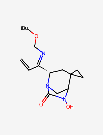 C=C/C(=N\COC(C)CC)[C@@H]1CC2(CC2)C2CN1C(=O)N2O